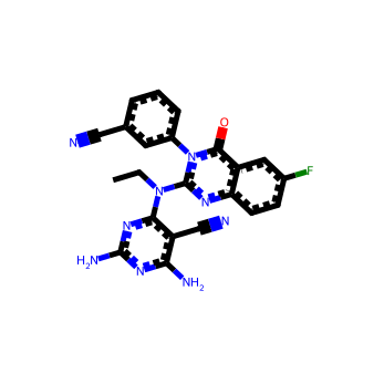 CCN(c1nc(N)nc(N)c1C#N)c1nc2ccc(F)cc2c(=O)n1-c1cccc(C#N)c1